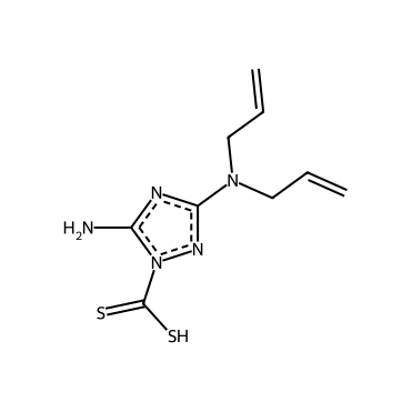 C=CCN(CC=C)c1nc(N)n(C(=S)S)n1